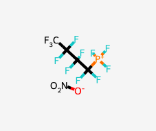 FC(F)(F)C(F)(F)C(F)(F)C(F)(F)[P+](F)(F)F.O=[N+]([O-])[O-]